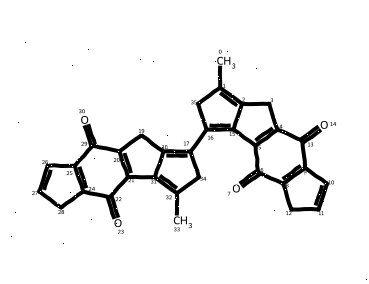 CC1=C2CC3=C(C(=O)C4=C(C=CC4)C3=O)C2=C(C2=C3CC4=C(C(=O)C5=C(C=CC5)C4=O)C3=C(C)C2)C1